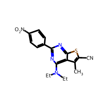 CCN(CC)c1nc(-c2ccc([N+](=O)[O-])cc2)nc2sc(C#N)c(C)c12